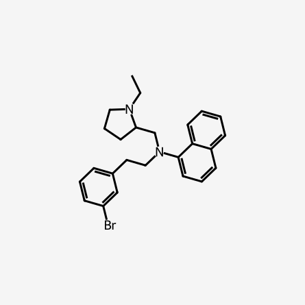 CCN1CCCC1CN(CCc1cccc(Br)c1)c1cccc2ccccc12